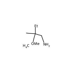 C.CCC(C)(CN)OC